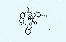 O=C(Nc1cc(O)ccc1S(=O)(=O)Nc1ccc2c(c1)B(O)OC2)OCc1ccccc1